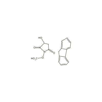 O=C(O)ON1C(=O)CC(O)C1=O.c1ccc2c(c1)Cc1ccccc1-2